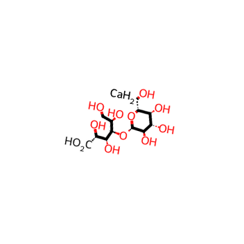 O=C(O)[C@H](O)[C@@H](O)[C@H](O[C@@H]1O[C@H](CO)[C@H](O)[C@H](O)[C@H]1O)[C@H](O)CO.[CaH2]